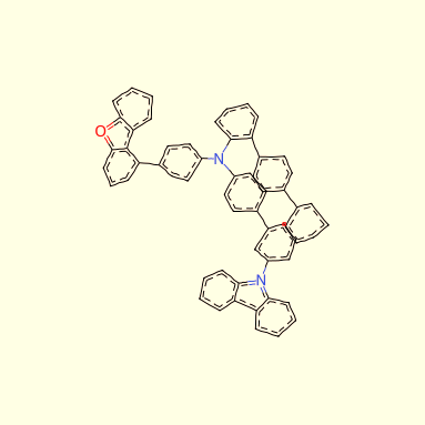 c1ccc(-c2ccc(-c3ccccc3N(c3ccc(-c4cccc(-n5c6ccccc6c6ccccc65)c4)cc3)c3ccc(-c4cccc5oc6ccccc6c45)cc3)cc2)cc1